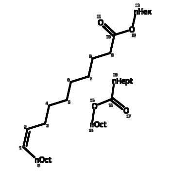 CCCCCCCC/C=C\CCCCCCCC(=O)OCCCCCC.CCCCCCCCOC(=O)CCCCCCC